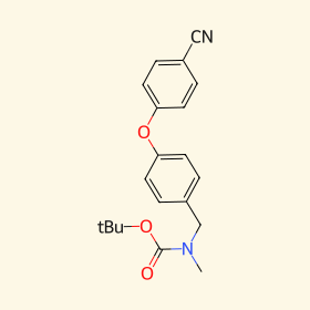 CN(Cc1ccc(Oc2ccc(C#N)cc2)cc1)C(=O)OC(C)(C)C